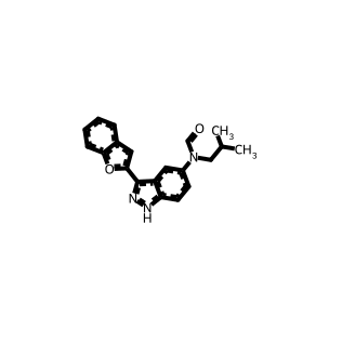 CC(C)CN(C=O)c1ccc2[nH]nc(-c3cc4ccccc4o3)c2c1